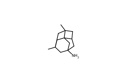 CC12CC3(N)CC4CC(C)(C1)C4(C2)C3